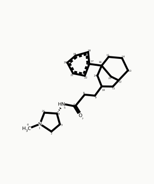 CN1CC[C@@H](NC(=O)CCC2CC3CCCC(c4ccccc4)(C3)C2)C1